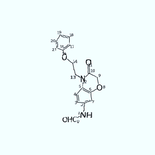 O=CNc1ccc2c(c1)OCC(=O)N2CCOc1ccccc1